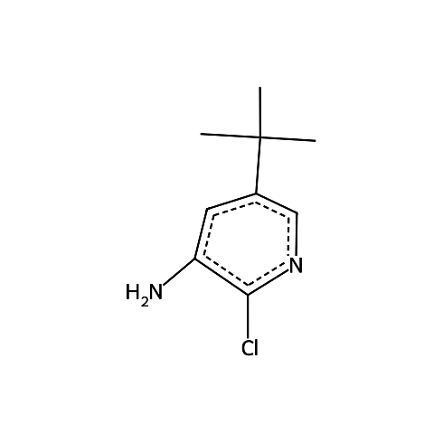 CC(C)(C)c1cnc(Cl)c(N)c1